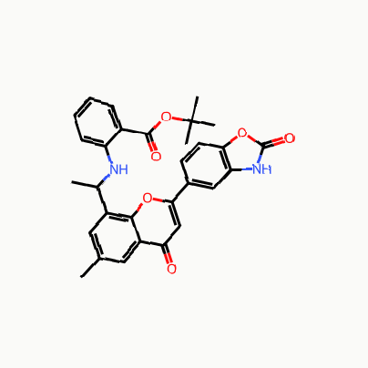 Cc1cc(C(C)Nc2ccccc2C(=O)OC(C)(C)C)c2oc(-c3ccc4oc(=O)[nH]c4c3)cc(=O)c2c1